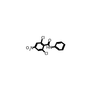 O=C(Nc1ccccc1)c1c(Cl)cc([N+](=O)[O-])cc1Cl